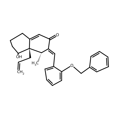 C=CC[C@@]12C(=CC(=O)/C(=C/c3ccccc3OCc3ccccc3)[C@@H]1C)CCC[C@@H]2O